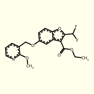 CCOC(=O)c1c(C(F)F)oc2ccc(OCc3cccnc3OC)cc12